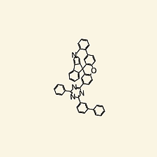 N#Cc1ccccc1-c1ccc2c(c1)C1(c3cc(-c4nc(-c5ccccc5)nc(-c5cccc(-c6ccccc6)c5)n4)ccc3O2)c2ccccc2-c2ccccc21